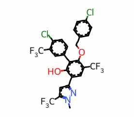 Cn1nc(-c2cc(C(F)(F)F)c(OCc3ccc(Cl)cc3)c(-c3ccc(Cl)c(C(F)(F)F)c3)c2O)cc1C(F)(F)F